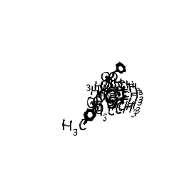 [3H][C@@H]1O[C@]2(COS(=O)(=O)c3ccc(C)cc3)CO[Si](C(C)C)(C(C)C)O[Si](C(C)C)(C(C)C)OC2[C@@H]1ONC(=O)OCc1ccccc1